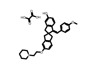 COc1ccc(/C=C2\c3ccc(O)cc3CC23Cc2ccc(OCCN4CCCCC4)cc2C3)cc1.O=C(O)C(=O)O